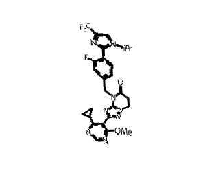 COc1ncnc(C2CC2)c1-c1nc2n(n1)CCC(=O)N2Cc1ccc(-c2nc(C(F)(F)F)cn2C(C)C)c(F)c1